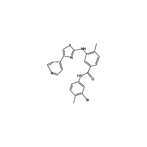 Cc1ccc(NC(=O)c2ccc(C)c(Nc3nc(-c4ccncc4)cs3)c2)cc1Br